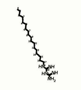 CCCCCCCCCCCCCCCCCCNC(=N)NC(=N)N